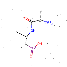 CC(C[PH](=O)O)NC(=O)[C@H](C)N